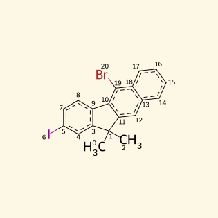 CC1(C)c2cc(I)ccc2-c2c1cc1ccccc1c2Br